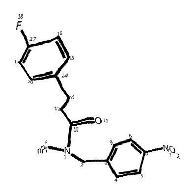 CCCN(Cc1ccc([N+](=O)[O-])cc1)C(=O)CCc1ccc(F)cc1